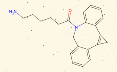 NCCCCCC(=O)N1Cc2ccccc2C2=C(C2)c2ccccc21